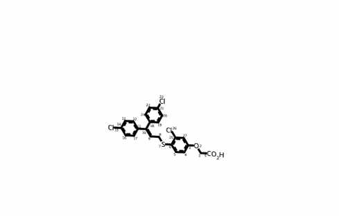 O=C(O)COc1ccc(SCC=C(c2ccc(Cl)cc2)c2ccc(Cl)cc2)c(Cl)c1